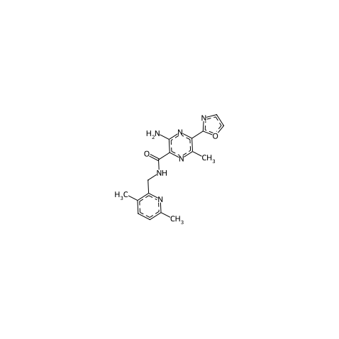 Cc1ccc(C)c(CNC(=O)c2nc(C)c(-c3ncco3)nc2N)n1